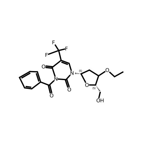 CCOC1C[C@@H](n2cc(C(F)(F)F)c(=O)n(C(=O)c3ccccc3)c2=O)O[C@H]1CO